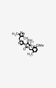 COc1ccc(C)c(CN2C(=O)N(c3cnn(Cc4c(C)noc4C)c3)C(=O)C2(C)C)c1